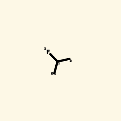 [CH2]C(C)F